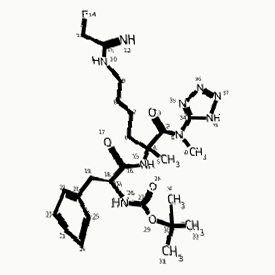 CN(C(=O)C(C)(CCCCNC(=N)CF)NC(=O)[C@H](Cc1ccccc1)NC(=O)OC(C)(C)C)c1nnn[nH]1